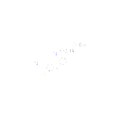 Cc1cccc([C@@H](C(=O)O)N(C)CC[C@@H](C[C@@H]2CCCN2C)c2cc(F)cc(Cl)c2)c1C1CCC(OC(C)(C)C)CC1